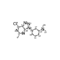 Cc1nc(Cl)c2nnn(-c3cccc(N(C)C)c3)c2n1